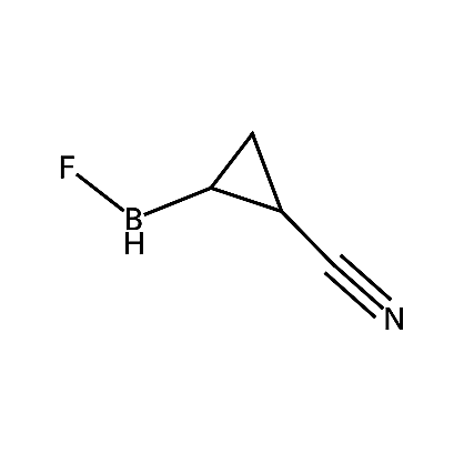 N#CC1CC1BF